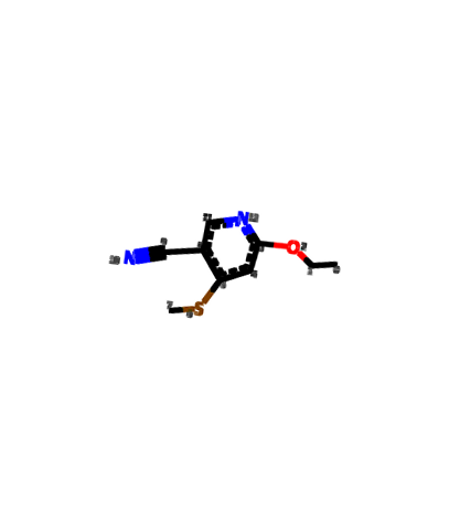 CCOc1cc(SC)c(C#N)cn1